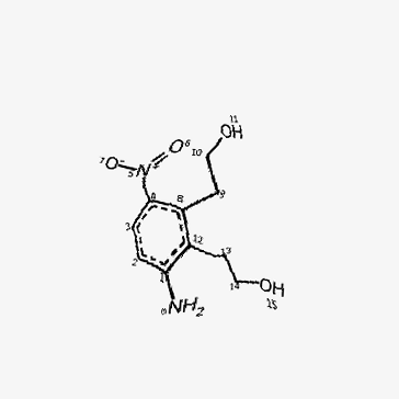 Nc1ccc([N+](=O)[O-])c(CCO)c1CCO